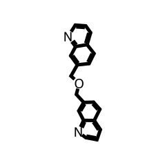 c1cnc2cc(COCc3ccc4cccnc4c3)ccc2c1